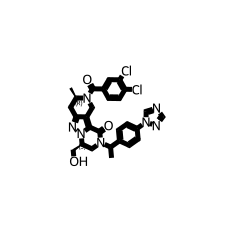 CC(c1ccc(-n2cncn2)cc1)N1C[C@@H](CO)n2nc3c(c2C1=O)CN(C(=O)c1ccc(Cl)c(Cl)c1)[C@H](C)C3